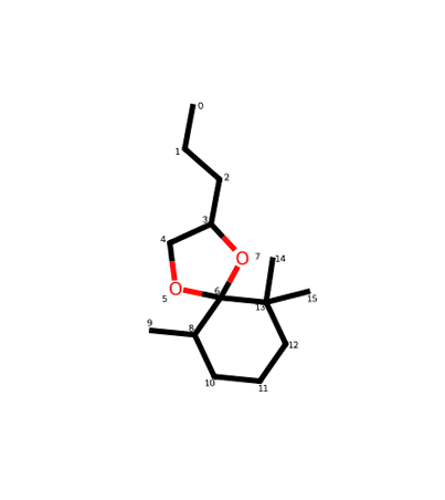 CCCC1COC2(O1)C(C)CCCC2(C)C